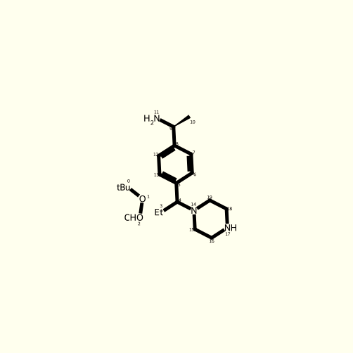 CC(C)(C)OC=O.CCC(c1ccc([C@H](C)N)cc1)N1CCNCC1